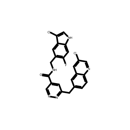 O=C(NCc1cc2c(Cl)c[nH]c2cc1F)c1cnnc(Cc2ccc3ncc(Cl)cc3c2)c1